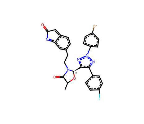 CC1O[C@H](c2nn(-c3ccc(Br)cc3)nc2-c2ccc(F)cc2)N(CCc2ccc3c(c2)=NC(=O)C=3)C1=O